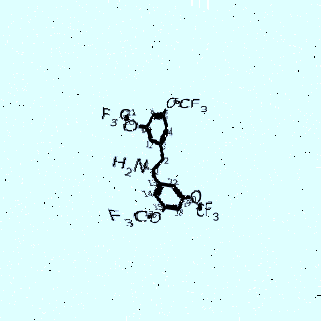 N[C@H](Cc1cc(OC(F)(F)F)cc(OC(F)(F)F)c1)c1cc(OC(F)(F)F)cc(OC(F)(F)F)c1